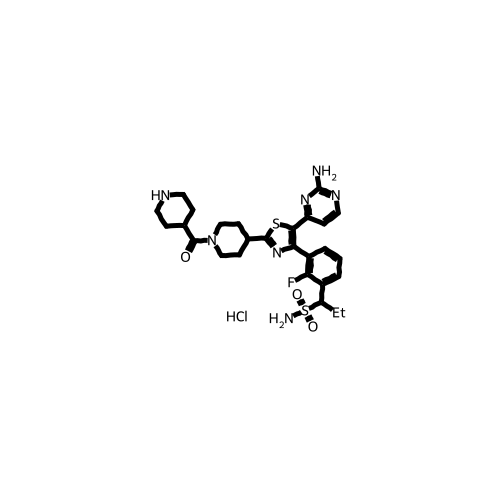 CCC(c1cccc(-c2nc(C3CCN(C(=O)C4CCNCC4)CC3)sc2-c2ccnc(N)n2)c1F)S(N)(=O)=O.Cl